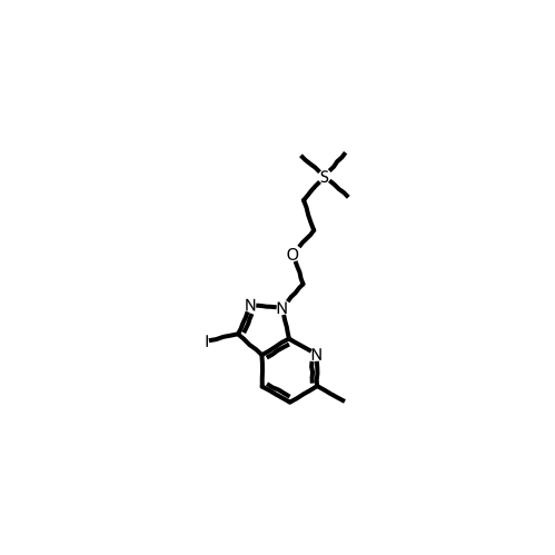 Cc1ccc2c(I)nn(COCCS(C)(C)C)c2n1